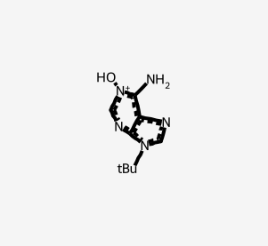 CC(C)(C)n1cnc2c(N)[n+](O)cnc21